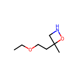 CCOCCC1(C)CNO1